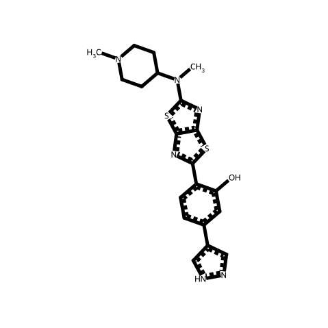 CN1CCC(N(C)c2nc3sc(-c4ccc(-c5cn[nH]c5)cc4O)nc3s2)CC1